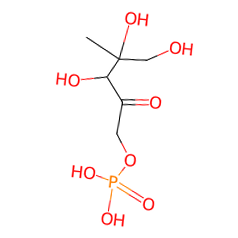 CC(O)(CO)C(O)C(=O)COP(=O)(O)O